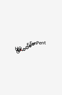 C=C(C)C(=O)OCC(CO)CC1CCC(C2CCC(c3ccc(-c4ccc(CCCCC)cc4F)cc3F)CC2)CC1